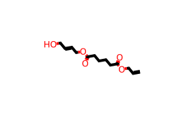 C=CCOC(=O)CCCCC(=O)OCC=CCO